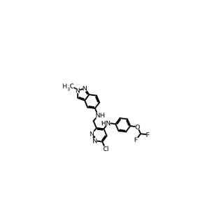 Cn1cc2cc(NCc3nnc(Cl)cc3Nc3ccc(OC(F)F)cc3)ccc2n1